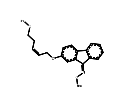 CC(C)OCC/C=C\COc1ccc2c(c1)/C(=N\OC(C)(C)C)c1ccccc1-2